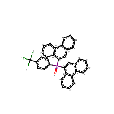 O=P(c1ccc(C(F)(F)F)cc1)(c1cc2ccccc2c2ccccc12)c1cc2ccccc2c2ccccc12